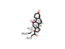 COCO[C@]1(C(=O)COC(C)=O)CC[C@H]2[C@@H]3CCC4=CC(=O)CC[C@]4(C)[C@H]3C(=O)C[C@@]21C